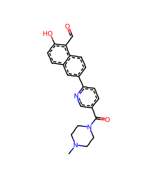 CN1CCN(C(=O)c2ccc(-c3ccc4c(C=O)c(O)ccc4c3)nc2)CC1